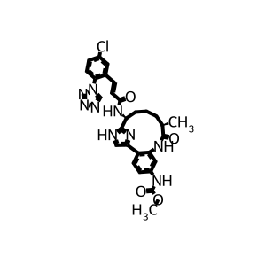 COC(=O)Nc1ccc2c(c1)NC(=O)[C@H](C)CCC[C@H](NC(=O)/C=C/c1cc(Cl)ccc1-n1cnnn1)c1nc-2c[nH]1